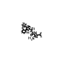 CC[C@H](CNC(=O)c1sc(C2CC2)nc1C)C(=O)N[C@@H]1C(=O)N2CCCN2Cc2ccccc21